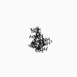 CN(C[C@H]1O[C@@H](N2CNC3C(N)NCNC32)[C@H](O)[C@@H]1O)[C@H]1C[C@H](CCC2Nc3ccc(C4(C#N)CC4)cc3N2)C1